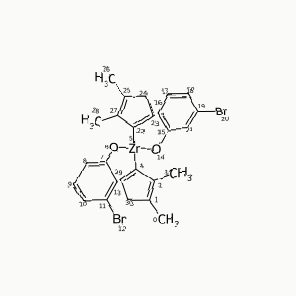 CC1=C(C)[C]([Zr]([O]c2cccc(Br)c2)([O]c2cccc(Br)c2)[C]2=CCC(C)=C2C)=CC1